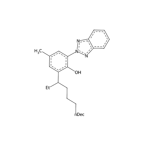 CCCCCCCCCCCCCC(CC)c1cc(C)cc(-n2nc3ccccc3n2)c1O